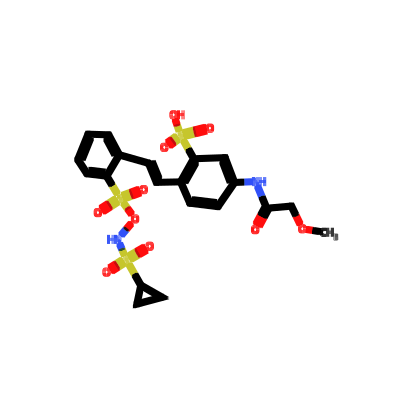 COCC(=O)Nc1ccc(C=Cc2ccccc2S(=O)(=O)ONS(=O)(=O)C2CC2)c(S(=O)(=O)O)c1